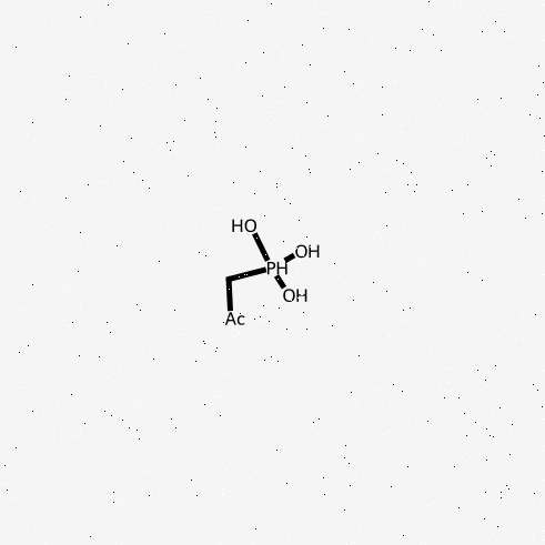 CC(=O)C[PH](O)(O)O